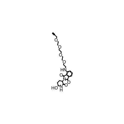 C#CCOCCOCCOCCOCCNc1cccc2c1C(=O)N(C1CCC(O)NC1=O)C2=O